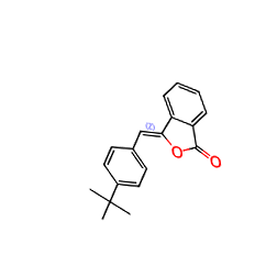 CC(C)(C)c1ccc(/C=C2\OC(=O)c3ccccc32)cc1